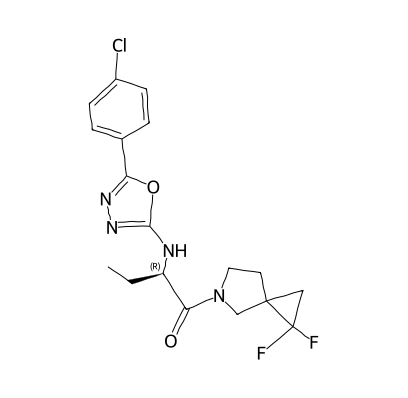 CC[C@@H](Nc1nnc(-c2ccc(Cl)cc2)o1)C(=O)N1CCC2(C1)CC2(F)F